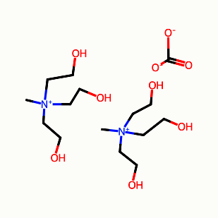 C[N+](CCO)(CCO)CCO.C[N+](CCO)(CCO)CCO.O=C([O-])[O-]